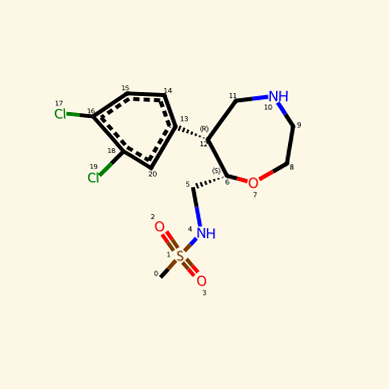 CS(=O)(=O)NC[C@H]1OCCNC[C@H]1c1ccc(Cl)c(Cl)c1